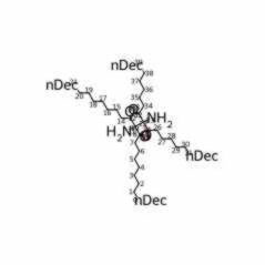 CCCCCCCCCCCCCCCCCC(=O)C(N)(C(=O)CCCCCCCCCCCCCCCCC)C(N)(C(=O)CCCCCCCCCCCCCCC)C(=O)CCCCCCCCCCCCCCC